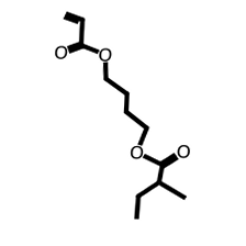 C=CC(=O)OCCCCOC(=O)C(C)CC